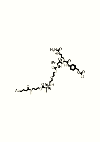 CCC(=O)OCc1ccc(NC(=O)[C@@H](CCCNC(N)=O)NC(=O)[C@H](NC(=O)OCCOCCNS(=O)(=O)NC(=O)OCCCNC(=O)CCCC(C)=O)C(C)C)cc1